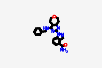 NC(=O)c1cccc2c1cnn2-c1nc2c(c(NCc3ccccc3)n1)CCOCC2